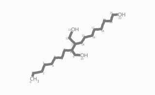 CCCCCCCCC(CO)C(CO)CCCCCCCCO